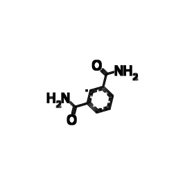 NC(=O)c1[c]c(C(N)=O)ccc1